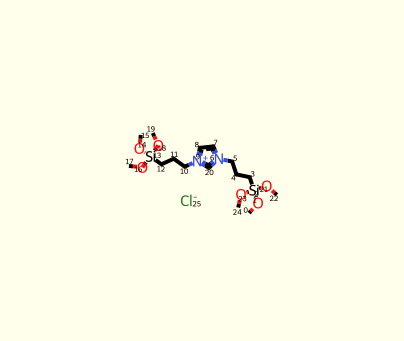 CO[Si](CCCn1cc[n+](CCC[Si](OC)(OC)OC)c1)(OC)OC.[Cl-]